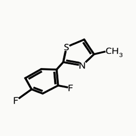 Cc1csc(-c2ccc(F)cc2F)n1